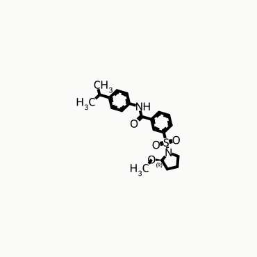 CO[C@@H]1CCCN1S(=O)(=O)c1cccc(C(=O)Nc2ccc(C(C)C)cc2)c1